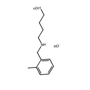 CCCCCCCCCCCCNCc1ccccc1C.Cl